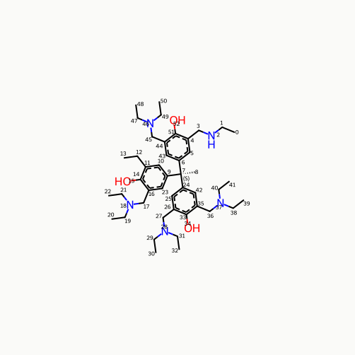 CCNCc1cc([C@](C)(c2cc(CC)c(O)c(CN(CC)CC)c2)c2cc(CN(CC)CC)c(O)c(CN(CC)CC)c2)cc(CN(CC)CC)c1O